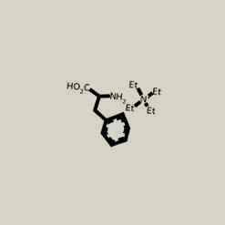 CC[N+](CC)(CC)CC.NC(Cc1ccccc1)C(=O)O